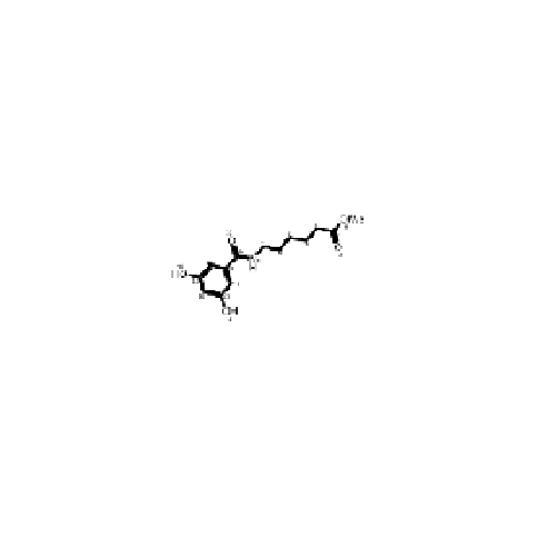 COC(=O)CCCCCNC(=O)c1cc(O)cc(O)c1